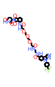 Cn1cc2c3cc(C(=O)NCCNC(=O)CCOCCOCCOCCC(=O)Nc4cccc5c4C(=O)N(C4CCC(=O)NC4=O)C5=O)ccc3n(-c3ccc(C(F)(F)F)cc3)c2n1